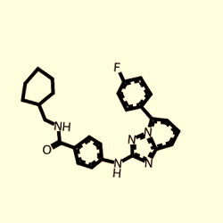 O=C(NCC1CCCCC1)c1ccc(Nc2nc3cccc(-c4ccc(F)cc4)n3n2)cc1